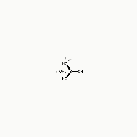 O.O.OB(O)O.[Ti]